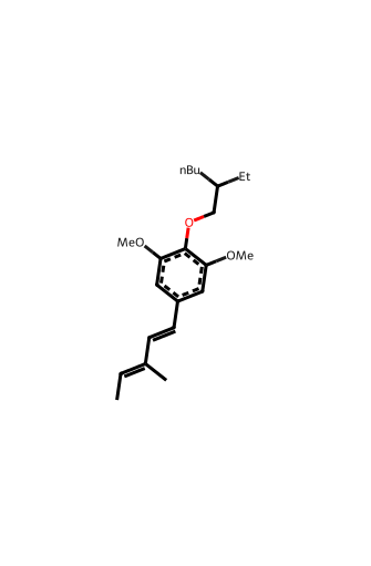 C/C=C(C)/C=C/c1cc(OC)c(OCC(CC)CCCC)c(OC)c1